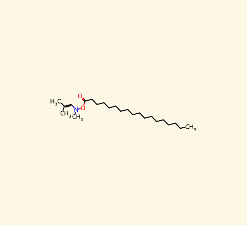 CCCCCCCCCCCCCCCCCC(=O)ON(C)C=C(C)C